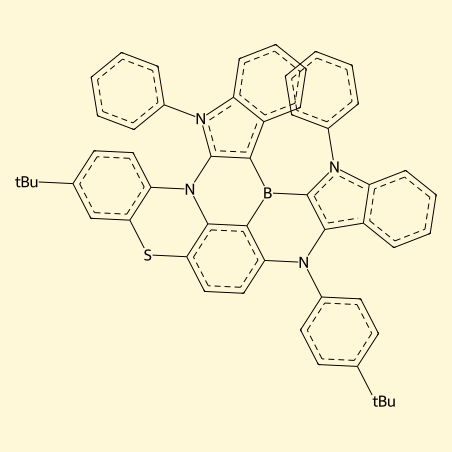 CC(C)(C)c1ccc(N2c3ccc4c5c3B(c3c(n(-c6ccccc6)c6ccccc36)N5c3ccc(C(C)(C)C)cc3S4)c3c2c2ccccc2n3-c2ccccc2)cc1